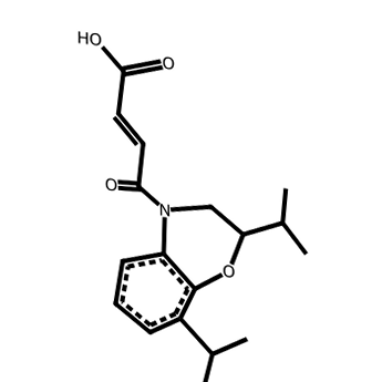 CC(C)c1cccc2c1OC(C(C)C)CN2C(=O)C=CC(=O)O